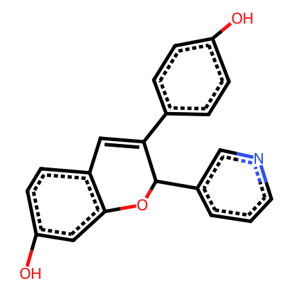 Oc1ccc(C2=Cc3ccc(O)cc3OC2c2cccnc2)cc1